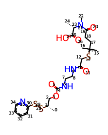 C[C@@H](COC(=O)NCCNC(=O)CSC(C)(C)CCC(=O)N(C)[C@@H](C)C(=O)O)SSc1ccccn1